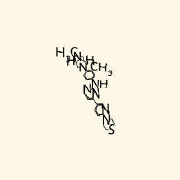 Cc1cc(Nc2nccc(-c3ccc(N4CCSCC4)nc3)n2)ccc1N1C[C@@H]2C[C@H]1CN2C